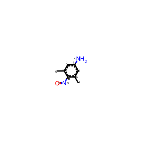 Cc1cc(N)cc(C)c1N=O